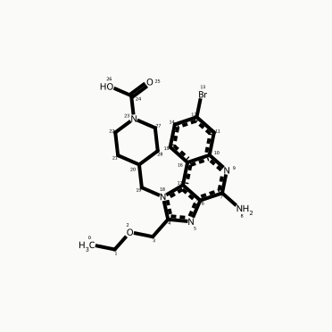 CCOCc1nc2c(N)nc3cc(Br)ccc3c2n1CC1CCN(C(=O)O)CC1